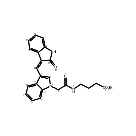 CCOC(=O)CCCNC(=O)Cn1cc(C=C2C(=O)Nc3ccccc32)c2ccccc21